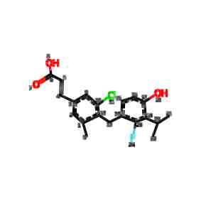 Cc1cc(/C=C/C(=O)O)cc(Cl)c1Cc1ccc(O)c(C(C)C)c1F